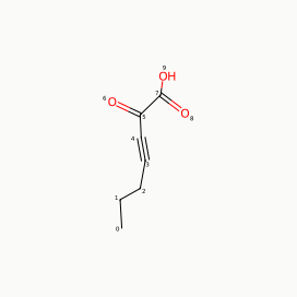 CCCC#CC(=O)C(=O)O